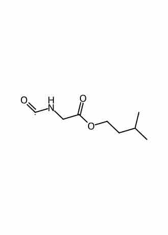 CC(C)CCOC(=O)CN[C]=O